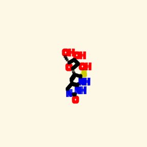 O=c1ncc2cc([C@@H]3O[C@H](CO)C(O)[C@@H]3O)c(=S)[nH]c2[nH]1